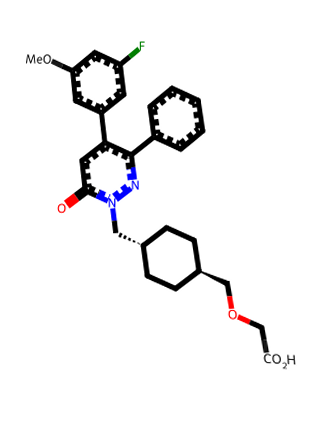 COc1cc(F)cc(-c2cc(=O)n(C[C@H]3CC[C@H](COCC(=O)O)CC3)nc2-c2ccccc2)c1